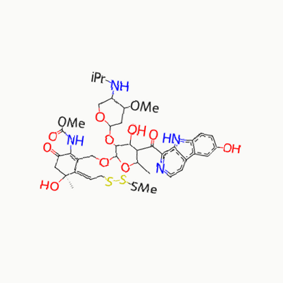 COC(=O)NC1=C(COC2OC(C)C(C(=O)c3nccc4c3[nH]c3ccc(O)cc34)C(O)C2OC2CC(OC)C(NC(C)C)CO2)/C(=C\CSSSC)[C@@](C)(O)CC1=O